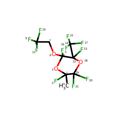 CC1(F)OC(F)(OCC(F)(F)F)C(F)(C(F)(F)F)OC1(F)F